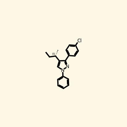 CC[C@H](C)c1cn(-c2ccccc2)nc1-c1ccc(Cl)cc1